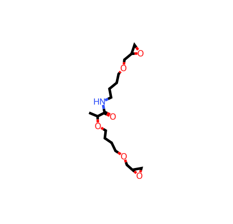 CC(OCCCCOCC1CO1)C(=O)NCCCCOCC1CO1